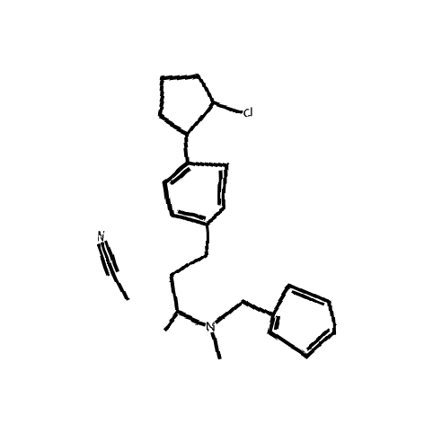 CC#N.CC(CCc1ccc(C2CCCC2Cl)cc1)N(C)Cc1ccccc1